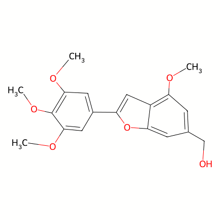 COc1cc(-c2cc3c(OC)cc(CO)cc3o2)cc(OC)c1OC